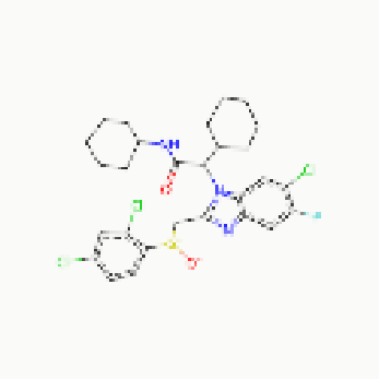 O=C(NC1CCCCC1)C(C1CCCCC1)n1c(C[S+]([O-])c2ccc(Cl)cc2Cl)nc2cc(F)c(Cl)cc21